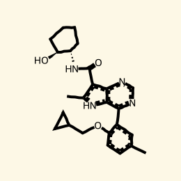 Cc1ccc(OCC2CC2)c(-c2ncnc3c(C(=O)N[C@H]4CCCC[C@@H]4O)c(C)[nH]c23)c1